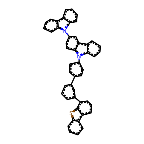 c1cc(-c2ccc(-n3c4ccccc4c4cc(-n5c6ccccc6c6ccccc65)ccc43)cc2)cc(-c2cccc3c2sc2ccccc23)c1